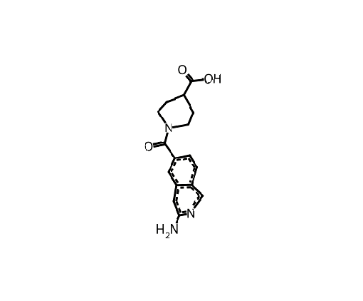 Nc1cc2cc(C(=O)N3CCC(C(=O)O)CC3)ccc2cn1